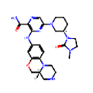 CN1CCN([C@@H]2CCCN(c3cnc(C(N)=O)c(Nc4ccc5c(c4)OC[C@H]4CNCCN54)n3)C2)C1=O